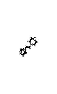 c1cn(CCN2CCOCC2)cn1